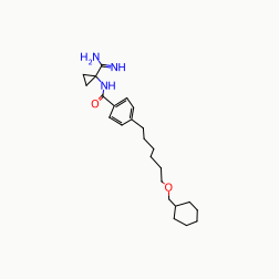 N=C(N)C1(NC(=O)c2ccc(CCCCCCOCC3CCCCC3)cc2)CC1